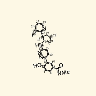 CNC(=O)c1ccc(O)c(-c2ccc(NC[C@](C)(C[C@H](C)F)c3ncccc3F)nn2)c1